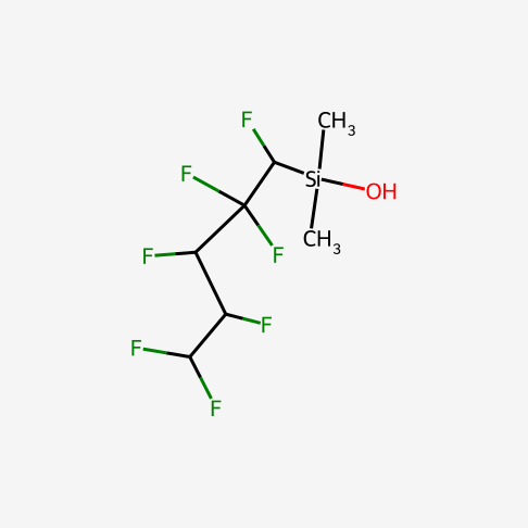 C[Si](C)(O)C(F)C(F)(F)C(F)C(F)C(F)F